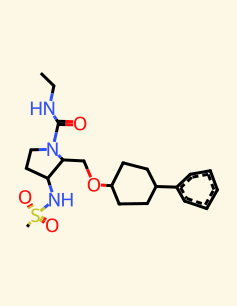 CCNC(=O)N1CCC(NS(C)(=O)=O)C1COC1CCC(c2ccccc2)CC1